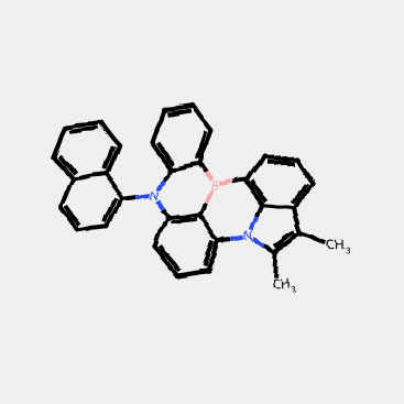 Cc1c(C)n2c3c(cccc13)B1c3ccccc3N(c3cccc4ccccc34)c3cccc-2c31